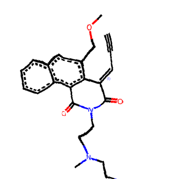 C#C/C=C1/C(=O)N(CCN(C)CCN)C(=O)c2c1c(COC)cc1ccccc21